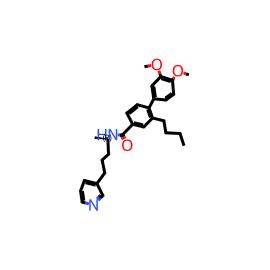 CCCCc1cc(C(=O)N[C@H](C)CCCc2cccnc2)ccc1-c1ccc(OC)c(OC)c1